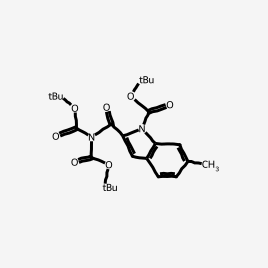 Cc1ccc2cc(C(=O)N(C(=O)OC(C)(C)C)C(=O)OC(C)(C)C)n(C(=O)OC(C)(C)C)c2c1